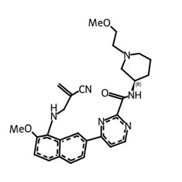 C=C(C#N)CNc1c(OC)ccc2ccc(-c3ccnc(C(=O)N[C@@H]4CCCN(CCOC)C4)n3)cc12